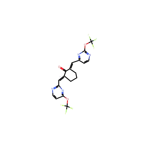 O=C1/C(=C/c2ccnc(OC(F)(F)F)n2)CCC/C1=C\c1nccc(OC(F)(F)F)n1